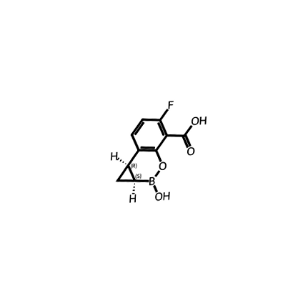 O=C(O)c1c(F)ccc2c1OB(O)[C@H]1C[C@@H]21